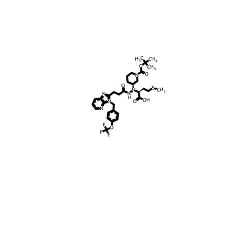 CSCC[C@@H](C(=O)O)N(NC(=O)CCc1nc2cccnc2n1Cc1ccc(OC(F)(F)F)cc1)[C@H]1CCCN(C(=O)OC(C)(C)C)C1